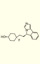 O[C@H]1CC[C@@](F)(CC[C@@H]2c3ccccc3-c3cncn32)CC1